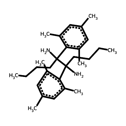 CCCCC(N)(c1c(C)cc(C)cc1C)C(N)(CCCC)c1c(C)cc(C)cc1C